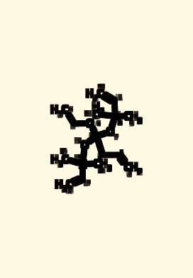 C=CC[Si](OCC)(O[Si](C)(C)C=C)O[Si](C)(C)C=C